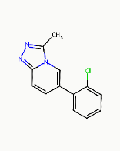 Cc1nnc2ccc(-c3ccccc3Cl)cn12